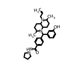 C=CCN1C(C)CCC2C1CCC(C)N2C(c1ccc(C(=O)NN2CCCC2)cc1)c1cccc(O)c1